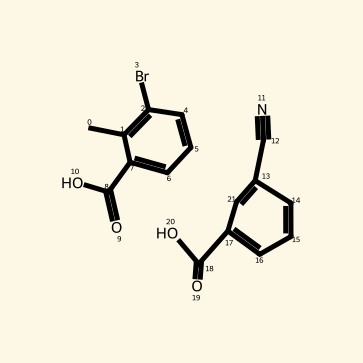 Cc1c(Br)cccc1C(=O)O.N#Cc1cccc(C(=O)O)c1